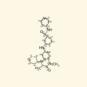 CC1C(=O)N(C)c2cnc(Nc3cccc(C(=O)Nc4ccncc4)c3)cc2N1C1CCOCC1